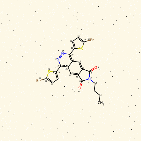 CCCCN1C(=O)c2cc3c(-c4ccc(Br)s4)nnc(-c4ccc(Br)s4)c3cc2C1=O